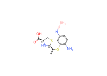 BB=Nc1ccc(N)c(SC(=C)[C@H]2N[C@@H](C(=O)O)CS2)c1